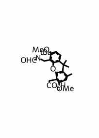 COc1ccc2c(c1CN(C=O)C(C)(C)C)Oc1c(CC(=O)O)c(OC)cc(C)c1C2(C)C